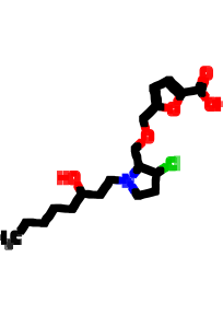 CCCCCC(O)CCN1CCC(Cl)C1COCc1ccc(C(=O)O)o1